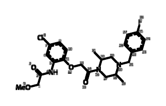 COCC(=O)Nc1cc(Cl)ccc1OCC(=O)N1CC(C)N(Cc2ccc(F)cc2)CC1C